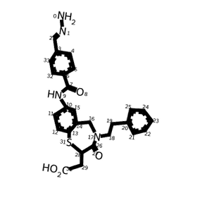 NN=Cc1ccc(C(=O)Nc2ccc3c(c2)CN(CCc2ccccc2)C(=O)C(CC(=O)O)S3)cc1